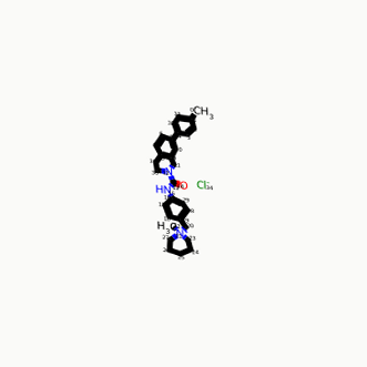 Cc1ccc(-c2ccc3c(c2)CN(C(=O)Nc2ccc(C[N+]4(C)CCCCC4)cc2)CC3)cc1.[Cl-]